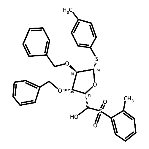 Cc1ccc(S[C@@H]2O[C@H](C(O)S(=O)(=O)c3ccccc3C)[C@H](OCc3ccccc3)[C@H]2OCc2ccccc2)cc1